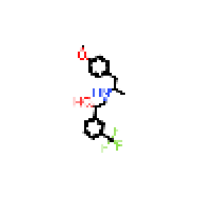 COc1ccc(CC(C)NCC(O)c2cccc(C(F)(F)F)c2)cc1